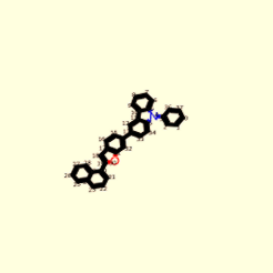 c1ccc(-n2c3ccccc3c3cc(-c4ccc5cc(-c6cccc7ccccc67)oc5c4)ccc32)cc1